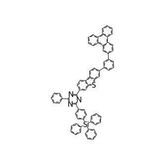 c1ccc(-c2nc(-c3ccc([Si](c4ccccc4)(c4ccccc4)c4ccccc4)cc3)nc(-c3ccc4c(c3)sc3cc(-c5cccc(-c6ccc7c8ccccc8c8ccccc8c7c6)c5)ccc34)n2)cc1